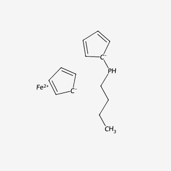 CCCCP[c-]1cccc1.[Fe+2].c1cc[cH-]c1